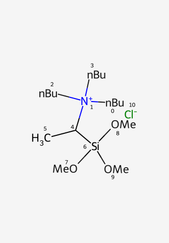 CCCC[N+](CCCC)(CCCC)C(C)[Si](OC)(OC)OC.[Cl-]